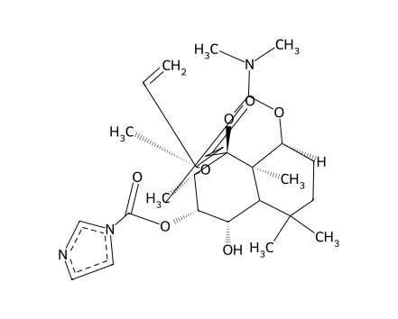 C=C[C@@]1(C)CC(=O)[C@@]23OC(N(C)C)O[C@H]4CCC(C)(C)C([C@H](O)[C@H](OC(=O)n5ccnc5)[C@@]2(C)O1)[C@]43C